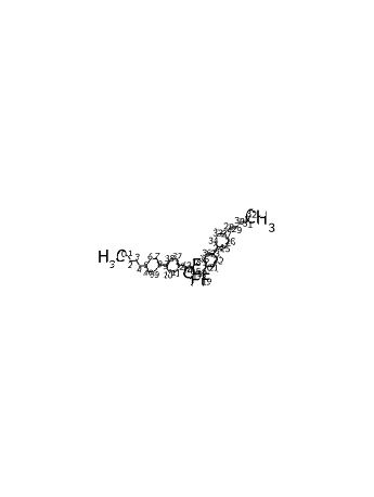 CCCCCC1CCC(c2ccc(COC(F)(F)C(F)c3ccc(C4CCC(CCCCC)CC4)cc3)cc2)CC1